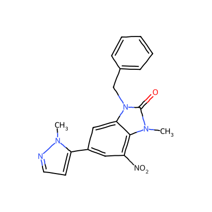 Cn1nccc1-c1cc([N+](=O)[O-])c2c(c1)n(Cc1ccccc1)c(=O)n2C